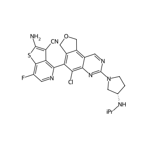 CC(C)N[C@H]1CCN(c2ncc3c4c(c(-c5ncc(F)c6sc(N)c(C#N)c56)c(Cl)c3n2)COC4)C1